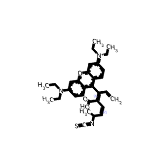 C=C/C(=C(\C=C/C(C)N=C=S)C(=O)O)c1c2ccc(=[N+](CC)CC)cc-2oc2cc(N(CC)CC)ccc12